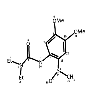 CCN(CC)C(=O)Nc1cc(OC)c(OC)cc1[S+](C)[O-]